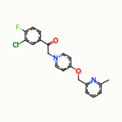 Cc1cccc(COc2cc[n+](CC(=O)c3ccc(F)c(Cl)c3)cc2)n1